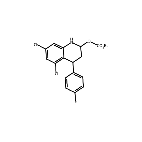 CCOC(=O)OC1CC(c2ccc(F)cc2)c2c(Cl)cc(Cl)cc2N1